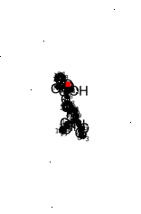 CC(C)(C)OC(=O)NCC(CNC(=O)OC(C)(C)C)Cn1cc2cc(OC[C@H](ON3C(=O)c4ccccc4C3=O)C(=O)O)ccc2n1